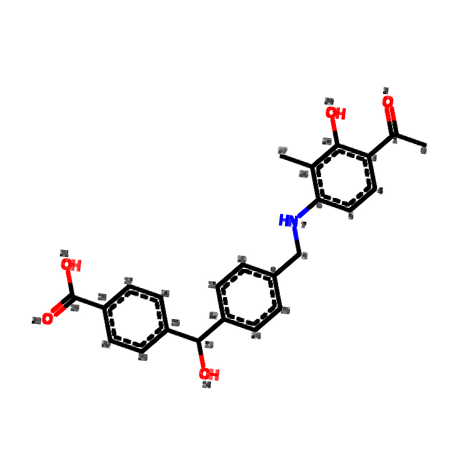 CC(=O)c1ccc(NCc2ccc(C(O)c3ccc(C(=O)O)cc3)cc2)c(C)c1O